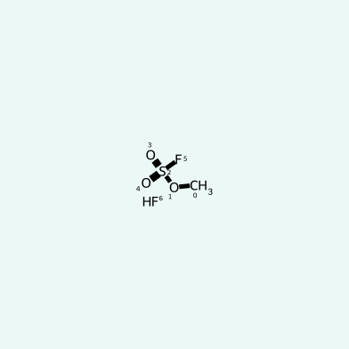 COS(=O)(=O)F.F